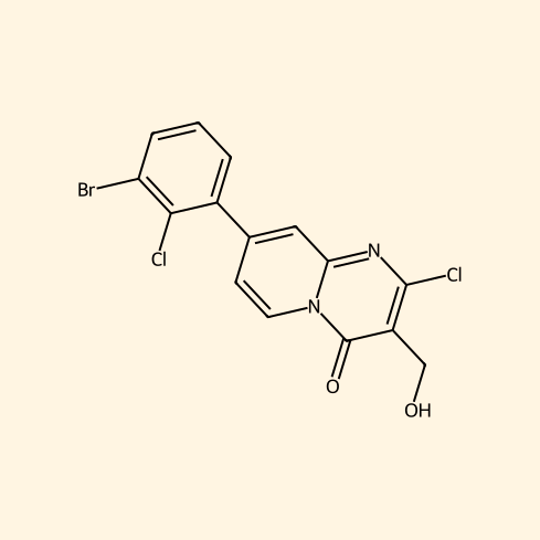 O=c1c(CO)c(Cl)nc2cc(-c3cccc(Br)c3Cl)ccn12